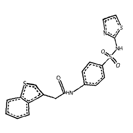 O=C(Cc1csc2ccccc12)Nc1ccc(S(=O)(=O)Nc2nccs2)cc1